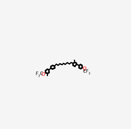 Cc1cc(-c2ccc(OC(F)(F)F)cc2)ccc1CCCCCCCCCc1ccc(-c2ccc(OC(F)(F)F)c(C)c2)cc1